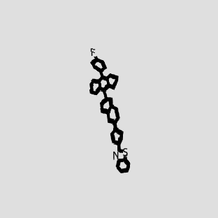 Fc1ccc(-c2c3ccccc3c(-c3ccc4cc(-c5ccc(-c6nc7ccccc7s6)cc5)ccc4c3)c3ccccc23)cc1